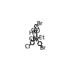 CCc1c(CNS(=O)(=O)c2ccc(Br)s2)nn(-c2ccc(Cl)cc2Cl)c1-c1ccc(Br)cc1